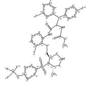 COC(=O)NC(C(=O)Nc1cccc(F)c1CC[C@H]1CNC[C@H](C)N1S(=O)(=O)c1ccc(OC(F)(F)F)cc1)C(c1ccc(F)cc1)c1cc(F)cc(F)c1